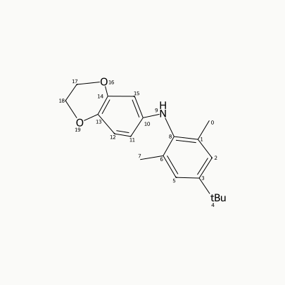 Cc1cc(C(C)(C)C)cc(C)c1Nc1ccc2c(c1)OCCO2